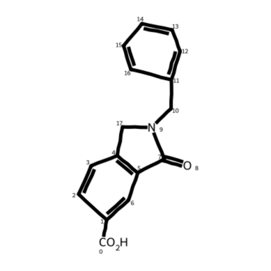 O=C(O)c1ccc2c(c1)C(=O)N(Cc1ccccc1)C2